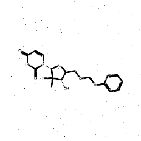 CC1(F)[C@@H](O)C(COCOc2ccccc2)O[C@H]1n1ccc(=O)[nH]c1=O